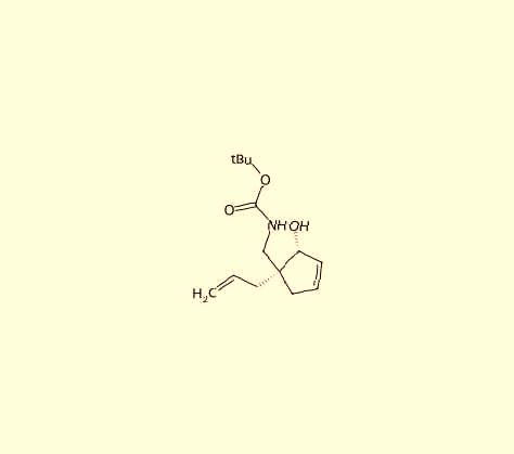 C=CC[C@@]1(CNC(=O)OC(C)(C)C)CC=C[C@H]1O